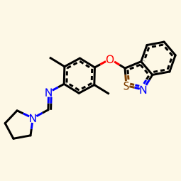 Cc1cc(Oc2snc3ccccc23)c(C)cc1N=CN1CCCC1